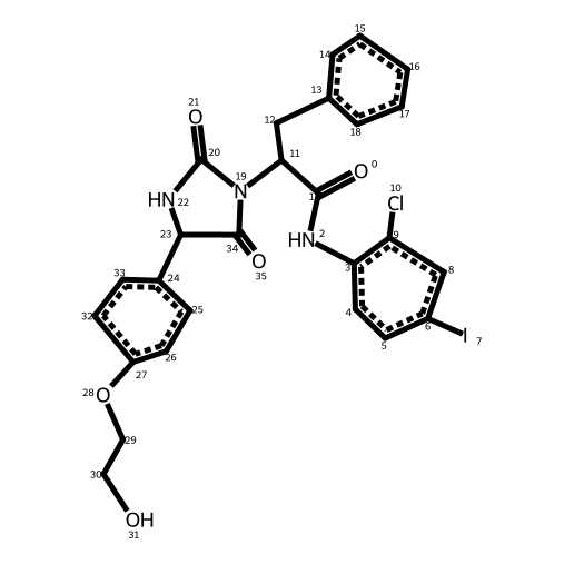 O=C(Nc1ccc(I)cc1Cl)C(Cc1ccccc1)N1C(=O)NC(c2ccc(OCCO)cc2)C1=O